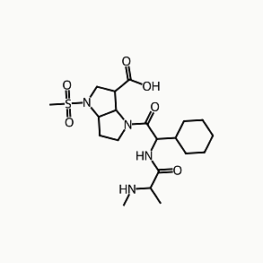 CNC(C)C(=O)NC(C(=O)N1CCC2C1C(C(=O)O)CN2S(C)(=O)=O)C1CCCCC1